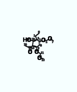 CCc1c(OCOC)cc(OCOC)c(C(C)=O)c1O